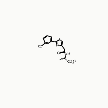 C[C@@H](NC(=O)Cc1csc(-c2cccc(Cl)c2)n1)C(=O)O